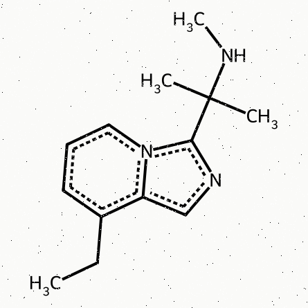 CCc1cccn2c(C(C)(C)NC)ncc12